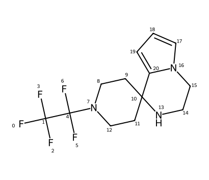 FC(F)(F)C(F)(F)N1CCC2(CC1)NCCn1cccc12